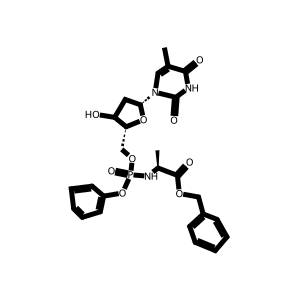 Cc1cn([C@H]2CC(O)[C@@H](COP(=O)(N[C@@H](C)C(=O)OCc3ccccc3)Oc3ccccc3)O2)c(=O)[nH]c1=O